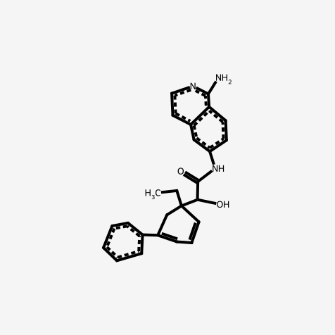 CCC1(C(O)C(=O)Nc2ccc3c(N)nccc3c2)C=CC=C(c2ccccc2)C1